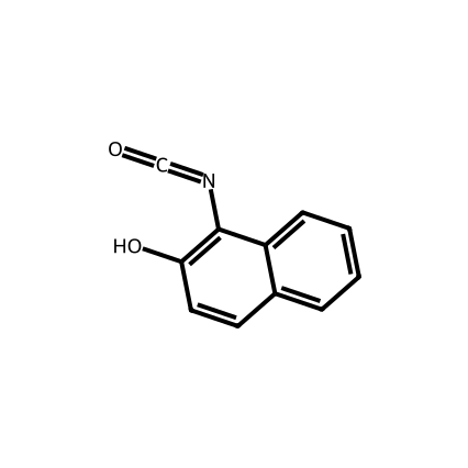 O=C=Nc1c(O)ccc2ccccc12